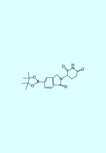 CC1(C)OB(c2ccc3c(c2)CN(C2CCC(=O)NC2=O)C3=O)OC1(C)C